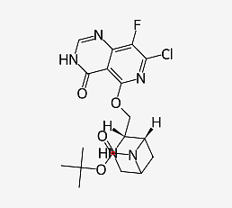 CC(C)(C)OC(=O)N1C2CN[C@H](COc3nc(Cl)c(F)c4nc[nH]c(=O)c34)[C@@H]1C2